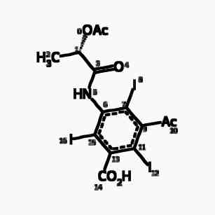 CC(=O)O[C@@H](C)C(=O)Nc1c(I)c(C(C)=O)c(I)c(C(=O)O)c1I